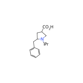 CC(C)N1CC(C(=O)O)CC1Cc1ccccc1